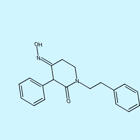 O=C1C(c2ccccc2)C(=NO)CCN1CCc1ccccc1